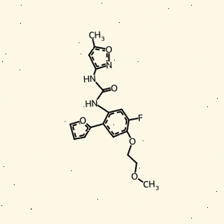 COCCOc1cc(-c2ccco2)c(NC(=O)Nc2cc(C)on2)cc1F